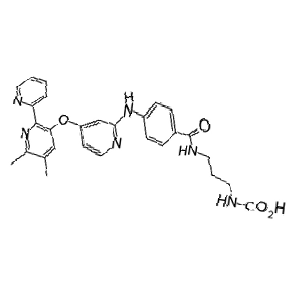 Cc1cc(Oc2ccnc(Nc3ccc(C(=O)NCCCNC(=O)O)cc3)c2)c(-c2ccccn2)nc1C